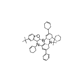 CC(C)(C)c1ccc2c(c1)C1C(O2)B2C3=C(C=C(c4ccccc4)CC3N3C4C2C=C(C2CC=CCC2)CC4C2(CCCCC2)C3(C)C)N1C1C=CCCC1